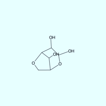 OC1OC2COC(C1O)C2O